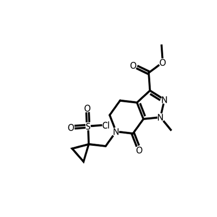 COC(=O)c1nn(C)c2c1CCN(CC1(S(=O)(=O)Cl)CC1)C2=O